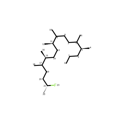 CCC[C@H](C)C(C)CCC(C)[C@H](C)CC[C@H](C)C(C)CC[C@@H](C)F